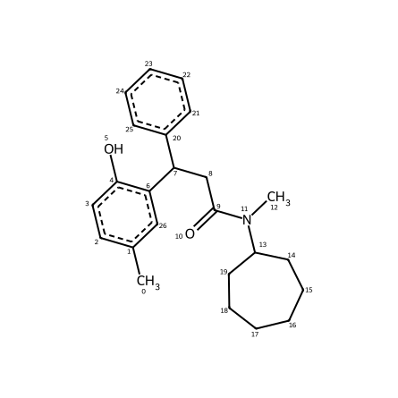 Cc1ccc(O)c(C(CC(=O)N(C)C2CCCCCC2)c2ccccc2)c1